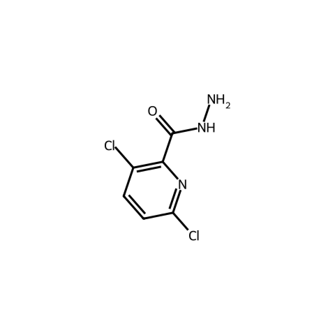 NNC(=O)c1nc(Cl)ccc1Cl